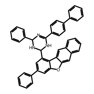 c1ccc(-c2ccc(C3=NC(c4ccccc4)NC(c4cc(-c5ccccc5)cc5oc6cc7ccccc7cc6c45)N3)cc2)cc1